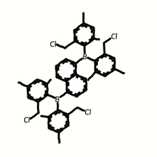 Cc1cc(C)c(B(c2c(C)cc(C)cc2CCl)c2cccc3c(B(c4c(C)cc(C)cc4CCl)c4c(C)cc(C)cc4CCl)cccc23)c(CCl)c1